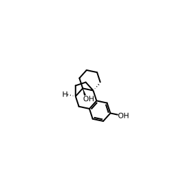 Oc1ccc2c(c1)[C@@]13CCCC[C@@]1(O)[C@H](CC3)C2